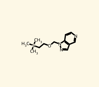 C[Si](C)(C)CCOCn1ncc2cnccc21